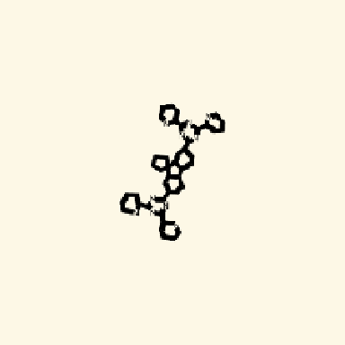 c1ccc(-c2nc(-c3ccc4c(c3)C3(CCCC3)c3cc(-c5nc(-c6ccccn6)nc(-c6ccccn6)n5)ccc3-4)nc(-c3ccccn3)n2)nc1